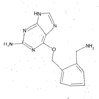 NCc1ccccc1COc1nc(N)nc2[nH]cnc12